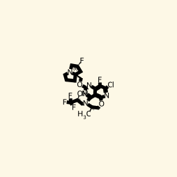 C[C@H]1COc2nc(Cl)c(F)c3nc(OC[C@@]45CCCN4C[C@H](F)C5)nc(c23)N1C[C@@H](O)C(F)(F)F